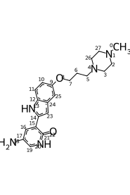 CN1CCN(CCCOc2ccc3[nH]c(-c4cc(N)c[nH]c4=O)cc3c2)CC1